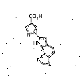 O=C(O)c1cnn(-c2nc3ccc4scnc4c3[nH]2)c1